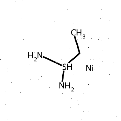 CC[SH](N)N.[Ni]